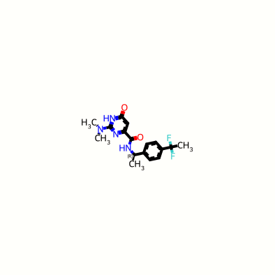 C[C@@H](NC(=O)c1cc(=O)[nH]c(N(C)C)n1)c1ccc(C(C)(F)F)cc1